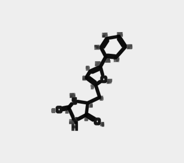 O=C1NC(=O)C(Cc2ccc(-c3ccccc3)o2)S1